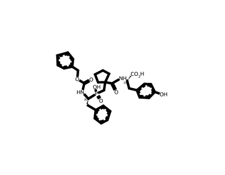 O=C(N[C@@H](Cc1ccccc1)P(=O)(O)CC1(C(=O)N[C@@H](Cc2ccc(O)cc2)C(=O)O)CCCC1)OCc1ccccc1